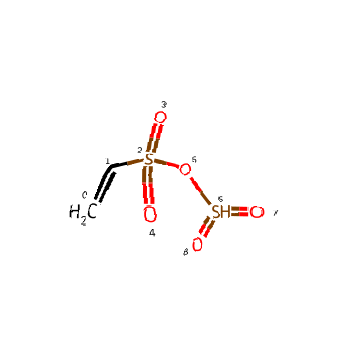 C=CS(=O)(=O)O[SH](=O)=O